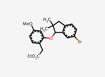 CCOC(=O)Cc1ccc(OC)cc1OC1c2cc(Br)ccc2CC1(C)C